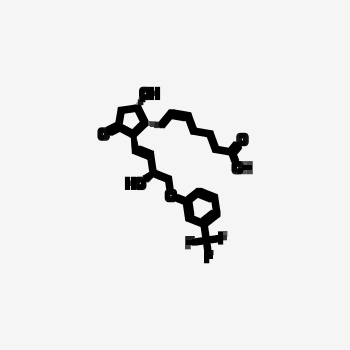 O=C(O)CCC/C=C\C[C@H]1[C@@H](O)CC(=O)[C@@H]1/C=C/[C@H](O)COc1cccc(C(F)(F)F)c1